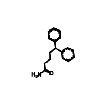 NC(=O)CCCC(c1ccccc1)c1ccccc1